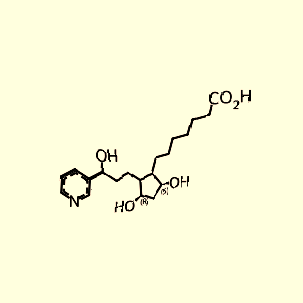 O=C(O)CCCCCCC1C(CCC(O)c2cccnc2)[C@H](O)C[C@@H]1O